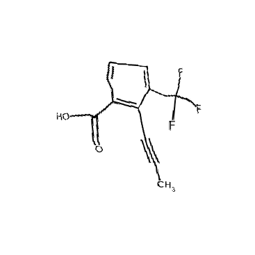 CC#Cc1c(C(=O)O)cccc1C(F)(F)F